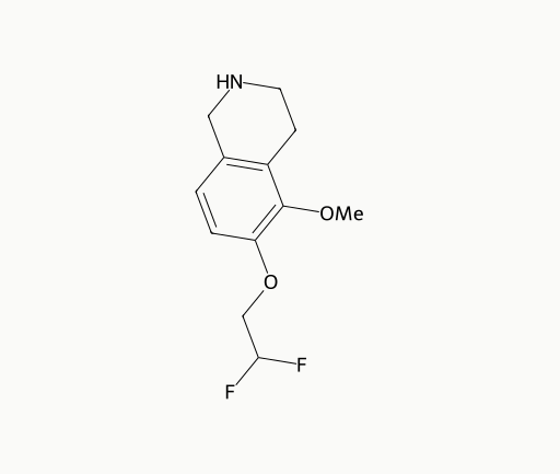 COc1c(OCC(F)F)ccc2c1CCNC2